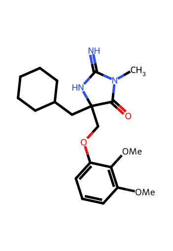 COc1cccc(OCC2(CC3CCCCC3)NC(=N)N(C)C2=O)c1OC